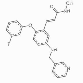 O=C(C=Cc1cc(NCc2cccnc2)ccc1Oc1cccc(F)c1)NO